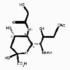 CC(=O)NC(C(O)COC(C)=O)[C@@H]1OC(O)(C(=O)O)C[C@H](O)[C@H]1NC(=O)CO